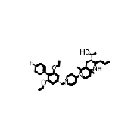 CCCC1NC2(C)CCN(C3CCN(C[C@H]4CC(OCC)=C(C5=CC[C@H](F)CC5)[C@@H](OCC)C4)CC3)C(C)C2C[C@@H]1C(C)O